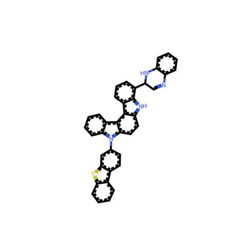 C1=Nc2ccccc2NC1c1cccc2c1[nH]c1ccc3c(c4ccccc4n3-c3ccc4c(c3)sc3ccccc34)c12